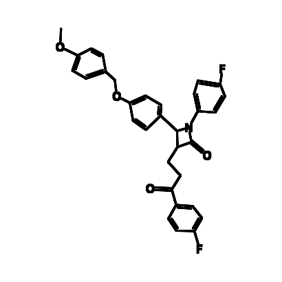 COc1ccc(COc2ccc(C3C(CCC(=O)c4ccc(F)cc4)C(=O)N3c3ccc(F)cc3)cc2)cc1